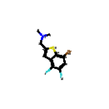 CN(C)Cc1cc2c(F)c(F)cc(Br)c2s1